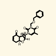 Cc1cn([C@@H]2O[C@@]34C(=O)C=CC[C@@H]3O[C@@H]2[C@@H]4O)c(=O)n(COCc2ccccc2)c1=O